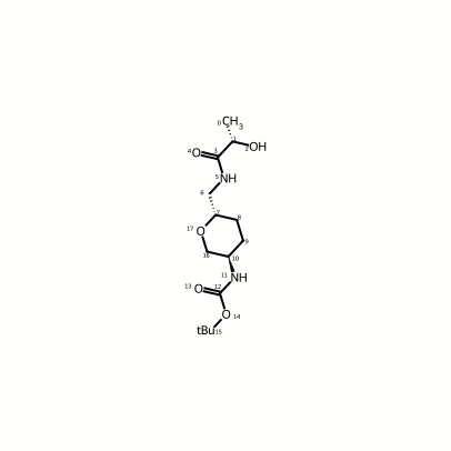 C[C@H](O)C(=O)NC[C@@H]1CC[C@@H](NC(=O)OC(C)(C)C)CO1